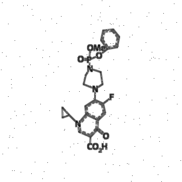 COP(=O)(Oc1ccccc1)N1CCN(c2cc3c(cc2F)c(=O)c(C(=O)O)cn3C2CC2)CC1